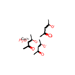 CC(=O)/C=C(/C)[O-].CC(=O)/C=C(/C)[O-].CC(=O)/C=C(/C)[O-].O.[Ga+3]